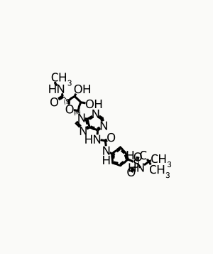 CCNC(=O)[C@H]1O[C@@H](n2cnc3c(NC(=O)Nc4ccc(S(=O)(=O)NC(C)(C)C)cc4)ncnc32)C(O)C1O